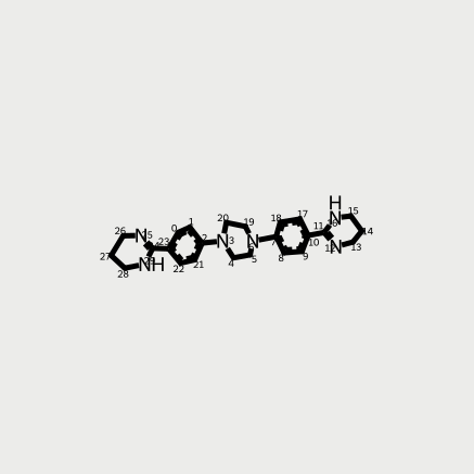 c1cc(N2CCN(c3ccc(C4=NCCCN4)cc3)CC2)ccc1C1=NCCCN1